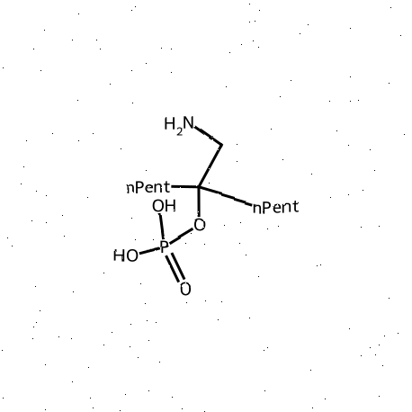 CCCCCC(CN)(CCCCC)OP(=O)(O)O